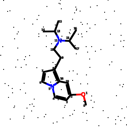 COc1ccn2ccc(CCN(C(C)C)C(C)C)c2c1